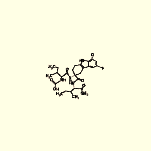 CCC(C)[C@H](NC(=O)[C@@]1(NC(=O)[C@@H](NC(=O)O)C(C)CC)CCc2[nH]c3c(Cl)cc(F)cc3c2C1)C(N)=O